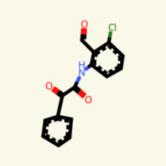 O=Cc1c(Cl)cccc1NC(=O)C(=O)c1ccccc1